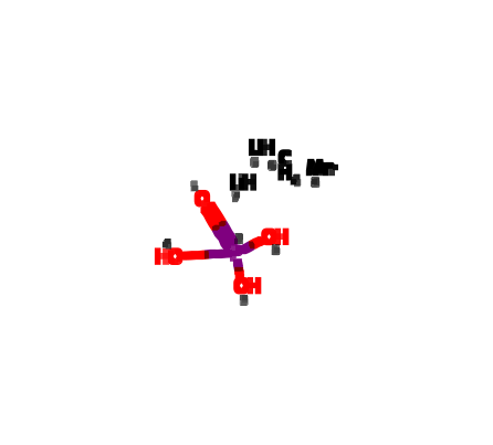 C.O=P(O)(O)O.[LiH].[LiH].[Mn]